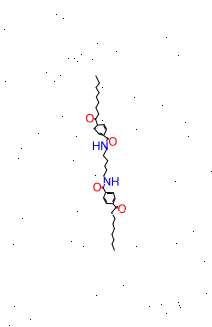 CCCCCCCCC(=O)c1ccc(C(=O)NCCCCCCNC(=O)c2ccc(C(=O)CCCCCCCC)cc2)cc1